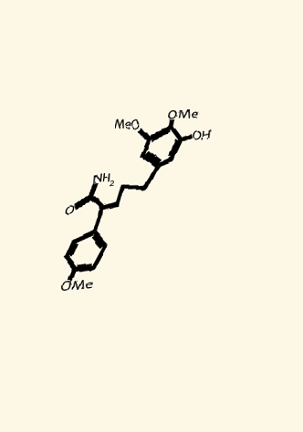 COc1ccc(C(CCCc2cc(O)c(OC)c(OC)c2)C(N)=O)cc1